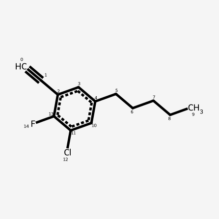 C#Cc1cc(CCCCC)cc(Cl)c1F